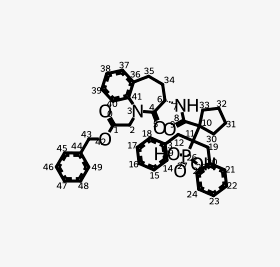 O=C(CN1C(=O)[C@@H](NC(=O)C2(C(Cc3ccccc3)(Cc3ccccc3)P(=O)(O)O)CCCC2)CCc2ccccc21)OCc1ccccc1